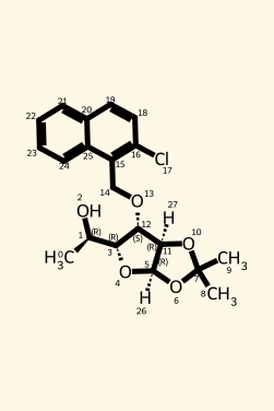 C[C@@H](O)[C@H]1O[C@@H]2OC(C)(C)O[C@@H]2[C@H]1OCc1c(Cl)ccc2ccccc12